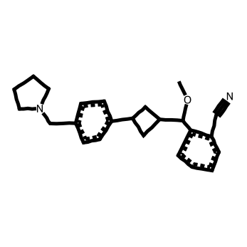 COC(c1ccccc1C#N)C1CC(c2ccc(CN3CCCC3)cc2)C1